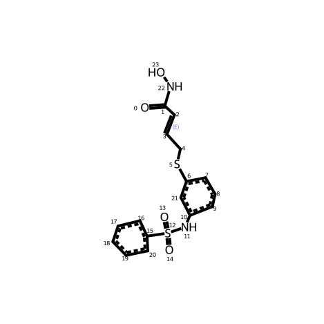 O=C(/C=C/CSc1cccc(NS(=O)(=O)c2ccccc2)c1)NO